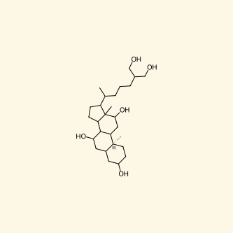 CC(CCCC(CO)CO)C1CCC2C3C(O)CC4CC(O)CC[C@]4(C)C3CC(O)C12C